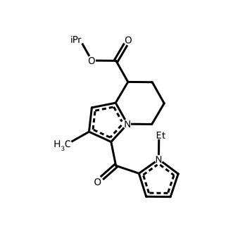 CCn1cccc1C(=O)c1c(C)cc2n1CCCC2C(=O)OC(C)C